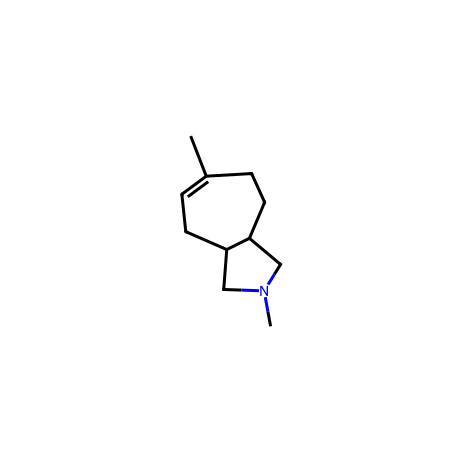 CC1=CCC2CN(C)CC2CC1